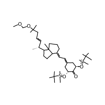 COCOC(C)(C)C/C=C/[C@@H](C)C1CCC2/C(=C/C=C3C[C@@H](O[Si](C)(C)C(C)(C)C)C(=O)[C@H](O[Si](C)(C)C(C)(C)C)C3)CCCC21C